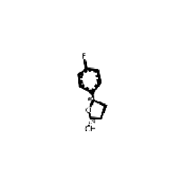 O[C@H]1CC[C@H](c2ccc(F)cc2)O1